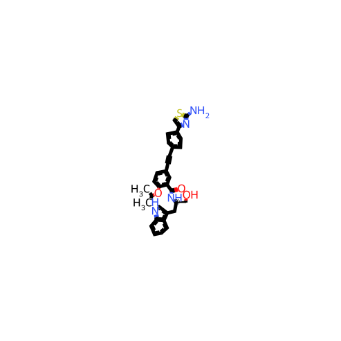 CC(C)Oc1ccc(C#Cc2ccc(-c3csc(N)n3)cc2)cc1C(=O)N[C@@H](CO)Cc1c[nH]c2ccccc12